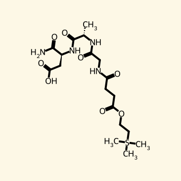 C[C@H](NC(=O)CNC(=O)CCC(=O)OCCS(C)(C)C)C(=O)N[C@@H](CC(=O)O)C(N)=O